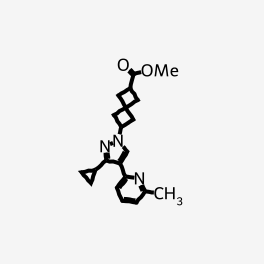 COC(=O)C1CC2(C1)CC(n1cc(-c3cccc(C)n3)c(C3CC3)n1)C2